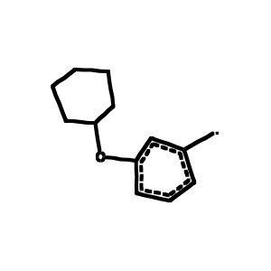 [CH2]c1cccc(OC2CCCCC2)c1